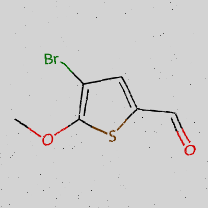 COc1sc(C=O)cc1Br